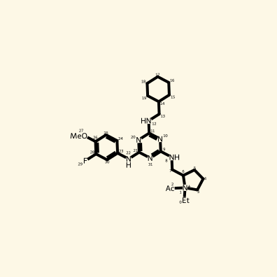 CC[N+]1(C(C)=O)CCCC1CNc1nc(NCC2CCCCC2)nc(Nc2ccc(OC)c(F)c2)n1